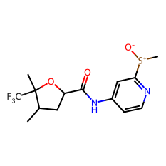 CC1CC(C(=O)Nc2ccnc([S+](C)[O-])c2)OC1(C)C(F)(F)F